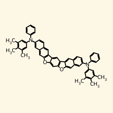 Cc1cc(N(c2ccccc2)c2ccc3cc4c(cc3c2)oc2cc3oc5cc6cc(N(c7ccccc7)c7cc(C)c(C)c(C)c7)ccc6cc5c3cc24)cc(C)c1C